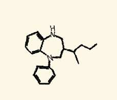 CCCC(C)C1CNc2ccccc2N(c2ccccc2)C1